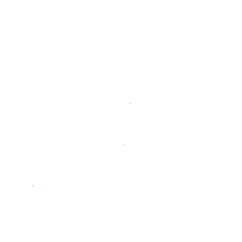 CCC(CC(=O)OC)c1ccc(N2CCC(c3ccccc3)CC2)c(N)c1